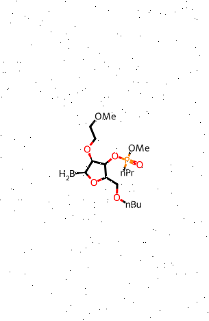 B[C@@H]1OC(COCCCC)C(OP(=O)(CCC)OC)[C@@H]1OCCOC